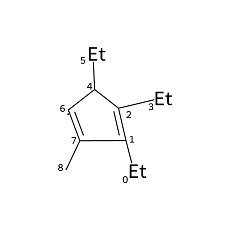 CCC1=C(CC)C(CC)[C]=C1C